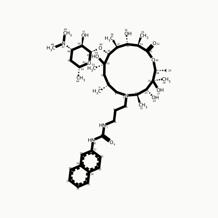 C[C@H]1CN(CCCNC(=O)Nc2ccc3ccccc3c2)[C@H](C)[C@@H](O)[C@](C)(O)[C@@H](I)OC(=O)[C@H](C)[C@@H](O)[C@H](C)[C@@H](O[C@@H]2O[C@H](C)C[C@H](N(C)C)[C@H]2O)[C@](C)(O)C1